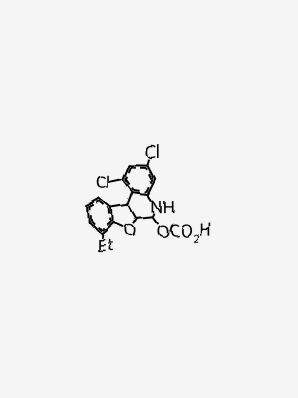 CCc1cccc2c1OC1C(OC(=O)O)Nc3cc(Cl)cc(Cl)c3C21